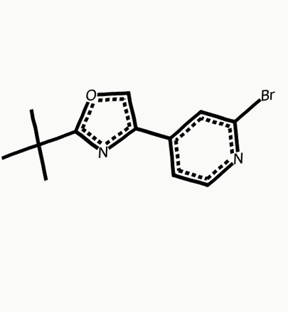 CC(C)(C)c1nc(-c2ccnc(Br)c2)co1